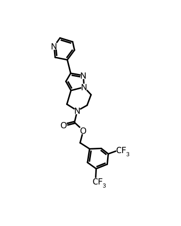 O=C(OCc1cc(C(F)(F)F)cc(C(F)(F)F)c1)N1CCn2nc(-c3cccnc3)cc2C1